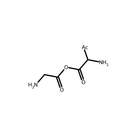 CC(=O)C(N)C(=O)OC(=O)CN